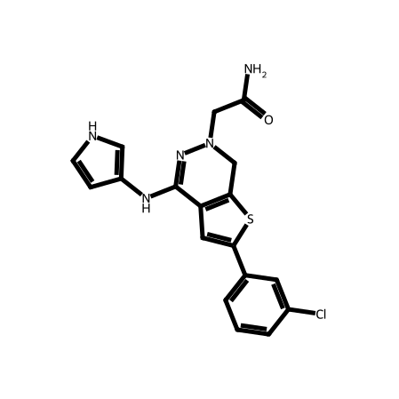 NC(=O)CN1Cc2sc(-c3cccc(Cl)c3)cc2C(Nc2cc[nH]c2)=N1